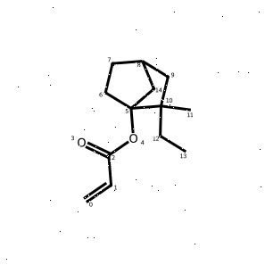 C=CC(=O)OC12CCC(CC1(C)CC)C2